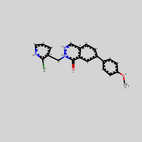 O=c1c2cc(-c3ccc(OC(F)(F)F)cc3)ccc2cnn1Cc1cccnc1Br